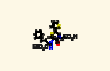 CCOC(=O)[C@H](CCc1ccccc1)N[C@H]1CSC(c2cccs2)CN(CC(=O)O)C1=O